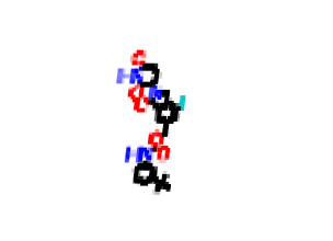 CC(C)(C)c1cccc(NC(=O)OCc2cc(F)c3c(c2)C(=O)N(C2CCC(=O)NC2=O)C3)c1